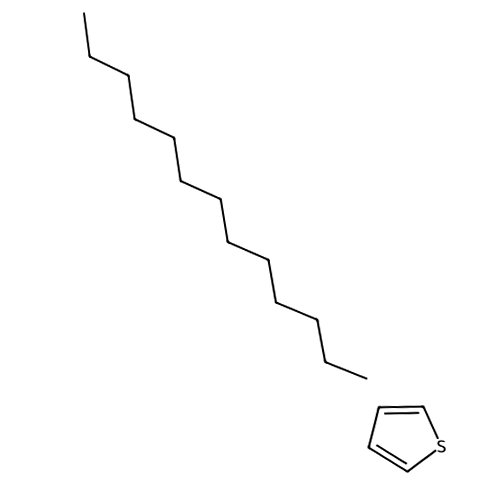 CCCCCCCCCCCCC.c1ccsc1